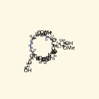 CO[C@@H]1C[C@H](C[C@@H](C)[C@@H]2CC(=O)[C@H](C)/C=C(\C)[C@@H](O)[C@@H](OC)C(=O)[C@H](C)C[C@H](C)/C=C/C=C/C=C(\C)[C@@H](OCCOCCCO)C[C@@H]3CC[C@@H](C)[C@@](O)(O3)C(=O)C(=O)N3CCCC[C@H]3C(=O)O2)CC[C@H]1O